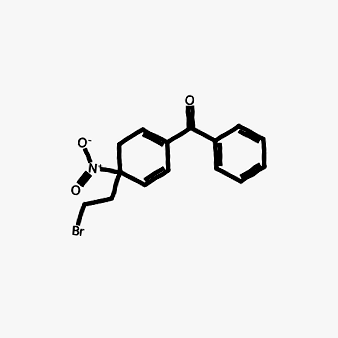 O=C(C1=CCC(CCBr)([N+](=O)[O-])C=C1)c1ccccc1